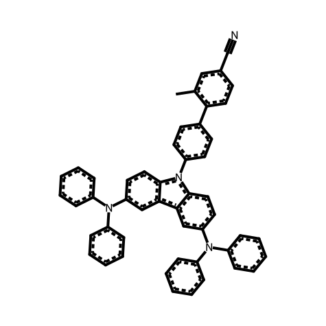 Cc1cc(C#N)ccc1-c1ccc(-n2c3ccc(N(c4ccccc4)c4ccccc4)cc3c3cc(N(c4ccccc4)c4ccccc4)ccc32)cc1